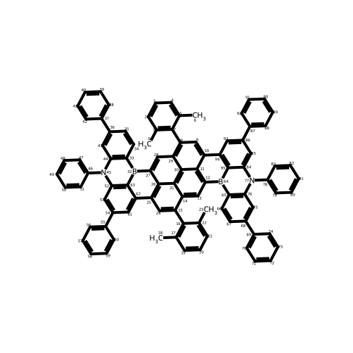 Cc1cccc(C)c1-c1cc2c3c(cc4c(-c5c(C)cccc5C)cc5c6c(cc1c3c46)B1c3ccc(-c4ccccc4)cc3N(c3ccccc3)c3cc(-c4ccccc4)cc-5c31)B1c3ccc(-c4ccccc4)cc3N(c3ccccc3)c3cc(-c4ccccc4)cc-2c31